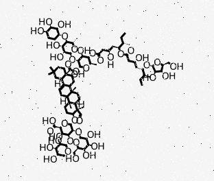 CC[C@H](C)[C@H](C[C@H](O)CC(=O)O[C@@H]1[C@H](O)[C@@H](O[C@@H]2O[C@@H](C)[C@H](O[C@@H]3CC[C@@H](O)[C@H](O)[C@H]3O)[C@@H](O)[C@H]2O)[C@H](OC(=O)[C@]23CCC(C)(C)C[C@H]2C2=CC[C@@H]4[C@@]5(C)CC[C@H](O[C@@H]6O[C@H](C(=O)O)[C@@H](O)[C@H](O[C@@H]7OC[C@@H](O)[C@H](O)[C@H]7O)[C@H]6O[C@@H]6O[C@H](CO)[C@H](O)[C@H](O)[C@H]6O)[C@@](C)(C=O)[C@@H]5CC[C@@]4(C)C2C[C@H]3O)O[C@@H]1C)OC(=O)C[C@@H](O)C[C@H](O[C@@H]1O[C@@H](CO)[C@H](O)[C@H]1O)[C@@H](C)CC